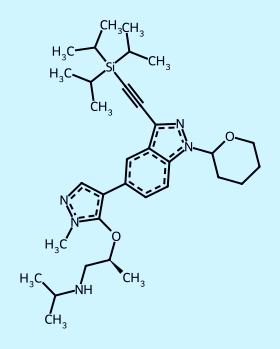 CC(C)NC[C@H](C)Oc1c(-c2ccc3c(c2)c(C#C[Si](C(C)C)(C(C)C)C(C)C)nn3C2CCCCO2)cnn1C